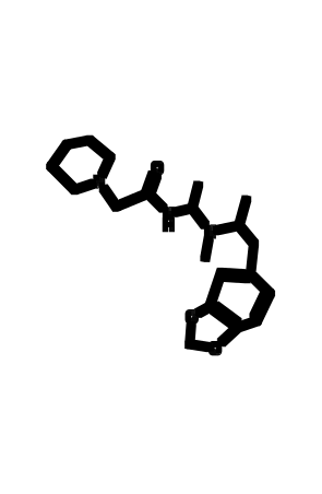 CC(Cc1ccc2c(c1)OCO2)N(C)C(C)NC(=O)CN1CCCCC1